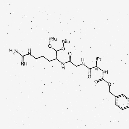 CCCCOC(OCCCC)C(CCCNC(=N)N)NC(=O)CNC(=O)[C@H](NC(=O)OCc1ccccc1)C(C)C